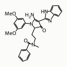 COc1cc(OC)cc(N2C(N)=C(c3nc4ccccc4[nH]3)C(=O)C2CCN(C)C(=O)c2ccccc2)c1